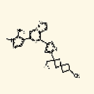 Cn1ncc(-c2cn3nccc3c(-c3cnn(C4(CC#N)CC5(CC(C#N)C5)C4)c3)n2)c1N